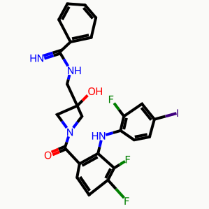 N=C(NCC1(O)CN(C(=O)c2ccc(F)c(F)c2Nc2ccc(I)cc2F)C1)c1ccccc1